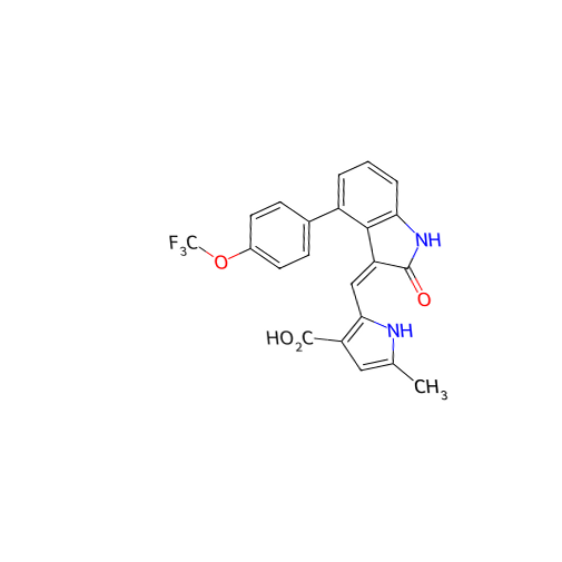 Cc1cc(C(=O)O)c(C=C2C(=O)Nc3cccc(-c4ccc(OC(F)(F)F)cc4)c32)[nH]1